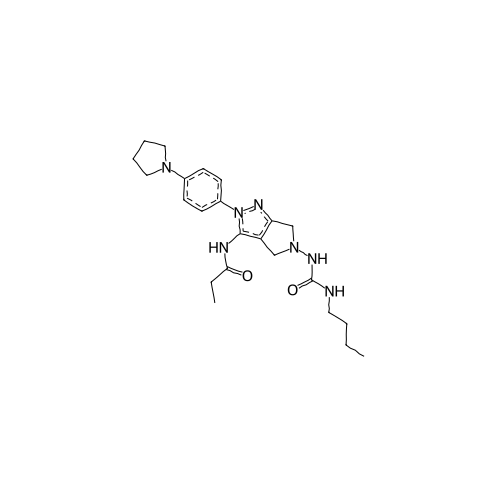 CCCCNC(=O)NN1Cc2nn(-c3ccc(N4CCCC4)cc3)c(NC(=O)CC)c2C1